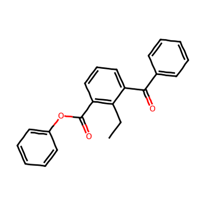 CCc1c(C(=O)Oc2ccccc2)cccc1C(=O)c1ccccc1